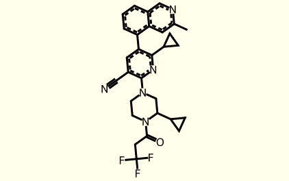 Cc1cc2c(-c3cc(C#N)c(N4CCN(C(=O)CC(F)(F)F)C(C5CC5)C4)nc3C3CC3)cccc2cn1